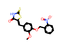 COc1cc(/C=C2\SC(=S)NC2=O)ccc1OCc1ccccc1[N+](=O)[O-]